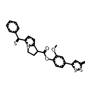 COc1cc(-c2cc(=S)ss2)ccc1OC(=O)C1CCn2c(C(=S)c3ccccc3)ccc21